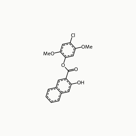 COc1cc(OC(=O)c2cc3ccccc3cc2O)c(OC)cc1Cl